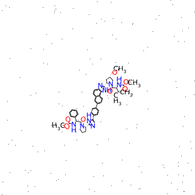 COC[C@H]1C[C@@H](c2nc3ccc4cc(-c5ccc(-c6cnc([C@@H]7CCCN7C(=O)[C@H](NC(=O)OC)c7ccccc7)[nH]6)cc5)ccc4c3[nH]2)N(C(=O)[C@@H](NC(=O)OC)C(C)C)C1